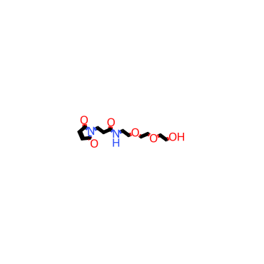 O=C(CCN1C(=O)C=CC1=O)NCCOCCOCCO